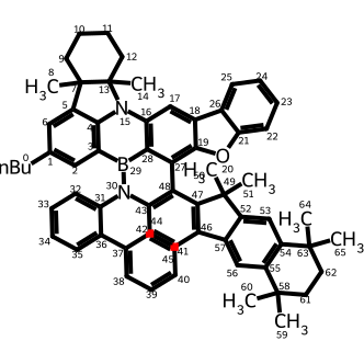 CCCCc1cc2c3c(c1)C1(C)CCCCC1(C)N3c1cc3c(oc4ccccc43)c3c1B2N(c1ccccc1-c1ccccc1)c1ccc2c(c1-3)C(C)(C)c1cc3c(cc1-2)C(C)(C)CCC3(C)C